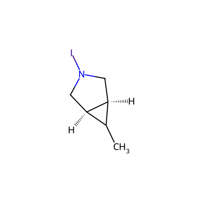 CC1[C@H]2CN(I)C[C@@H]12